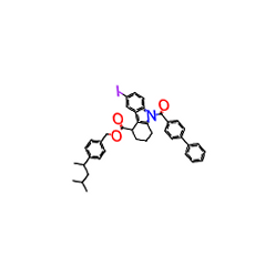 CC(C)CC(C)c1ccc(COC(=O)C2CCCc3c2c2cc(I)ccc2n3C(=O)c2ccc(-c3ccccc3)cc2)cc1